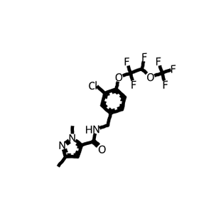 Cc1cc(C(=O)NCc2ccc(OC(F)(F)C(F)OC(F)(F)F)c(Cl)c2)n(C)n1